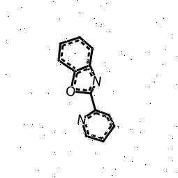 [c]1ccnc(-c2nc3ccccc3o2)c1